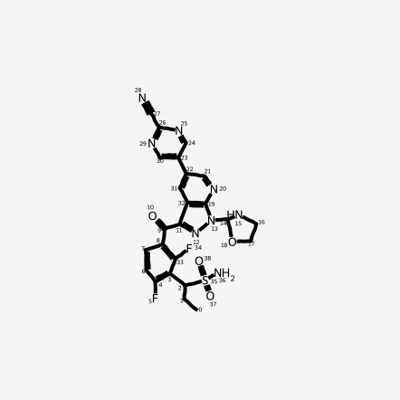 CCC(c1c(F)ccc(C(=O)c2nn(C3NCCO3)c3ncc(-c4cnc(C#N)nc4)cc23)c1F)S(N)(=O)=O